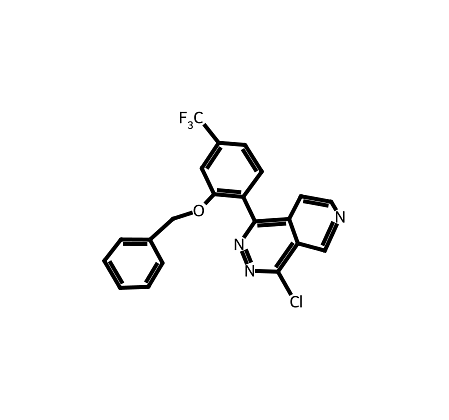 FC(F)(F)c1ccc(-c2nnc(Cl)c3cnccc23)c(OCc2ccccc2)c1